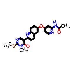 CSc1ncc(-c2ccc3cc(Oc4ccnc(NC(C)=O)c4)ccc3n2)c(=O)n1C